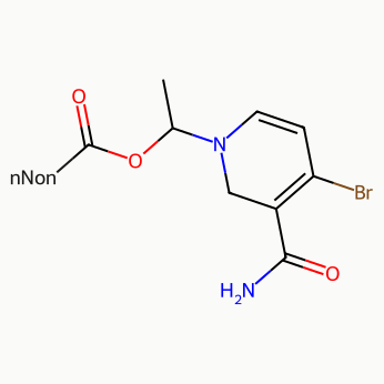 CCCCCCCCCC(=O)OC(C)N1C=CC(Br)=C(C(N)=O)C1